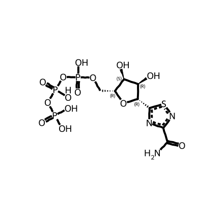 NC(=O)c1nsc([C@@H]2O[C@H](COP(=O)(O)OP(=O)(O)OP(=O)(O)O)[C@@H](O)[C@H]2O)n1